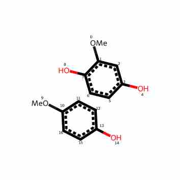 COc1cc(O)ccc1O.COc1ccc(O)cc1